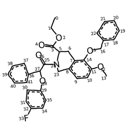 CCOC(=O)C1Cc2c(ccc(OC)c2OCc2ccccc2)CN1C(=O)C(Oc1ccc(F)cc1)c1ccccc1